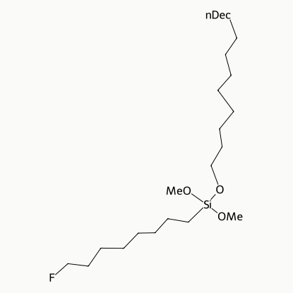 CCCCCCCCCCCCCCCCCCO[Si](CCCCCCCCF)(OC)OC